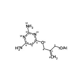 C=C(COC(C)=O)COc1cc(N)nc(N)n1